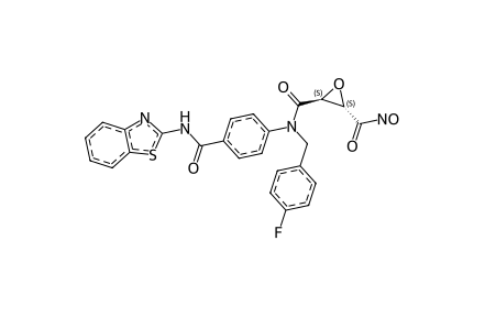 O=NC(=O)[C@H]1O[C@@H]1C(=O)N(Cc1ccc(F)cc1)c1ccc(C(=O)Nc2nc3ccccc3s2)cc1